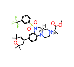 COC(=O)[C@@H](C)N1CCN2c3ccc(C4=CC(C)(C)OC(C)(C)C4)cc3N(S(=O)(=O)c3cccc(C(F)(F)F)c3)C[C@@H]2C1